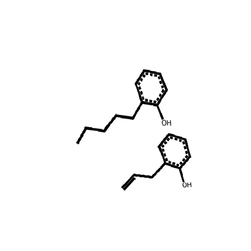 C=CCc1ccccc1O.CCCCCc1ccccc1O